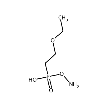 CCOCCP(=O)(O)ON